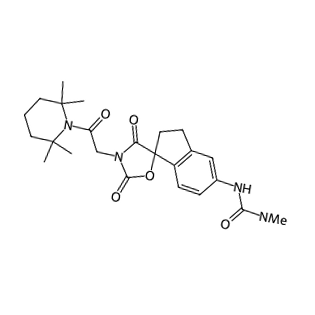 CNC(=O)Nc1ccc2c(c1)CCC21OC(=O)N(CC(=O)N2C(C)(C)CCCC2(C)C)C1=O